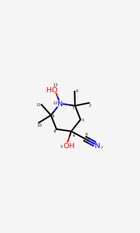 CC1(C)CC(O)(C#N)CC(C)(C)N1O